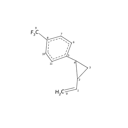 C=CC1CC1c1ccc(C(F)(F)F)cc1